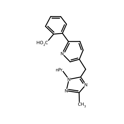 CCCn1nc(C)nc1Cc1ccc(-c2ccccc2C(=O)O)nc1